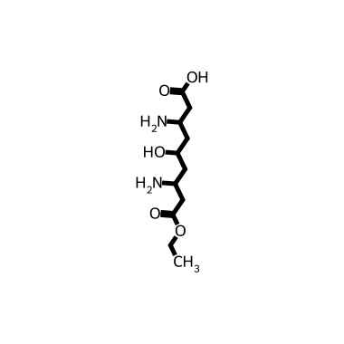 CCOC(=O)CC(N)CC(O)CC(N)CC(=O)O